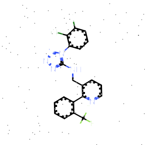 FC(F)(F)c1ccccc1-c1ncccc1CNc1nnnn1-c1cccc(Cl)c1Cl